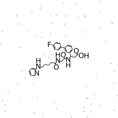 O=C(O)CC(NC(=O)CNC(=O)CCCCNc1ccccn1)c1cccc(-c2ccc(F)cc2)c1